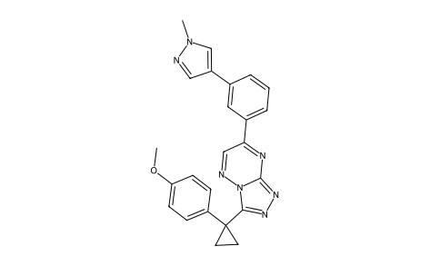 COc1ccc(C2(c3nnc4nc(-c5cccc(-c6cnn(C)c6)c5)cnn34)CC2)cc1